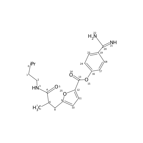 CC(C)CCNC(=O)C(C)Cc1ccc(C(=O)Oc2ccc(C(=N)N)cc2)o1